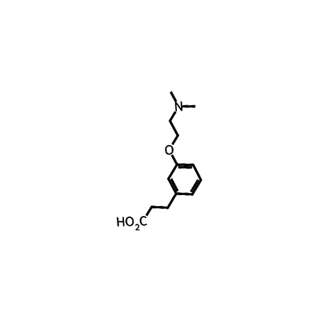 CN(C)CCOc1cccc(CCC(=O)O)c1